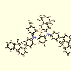 Cc1cc2c3c(c1)N(c1ccc(-c4cccc5c4C(C)(C)c4ccccc4-5)cc1)c1cc4c(cc1B3c1cc(C(C)(C)C)ccc1N2c1ccc(-c2cccc3c2C(C)(C)c2ccccc2-3)cc1)C(C)(C)CCC4(C)C